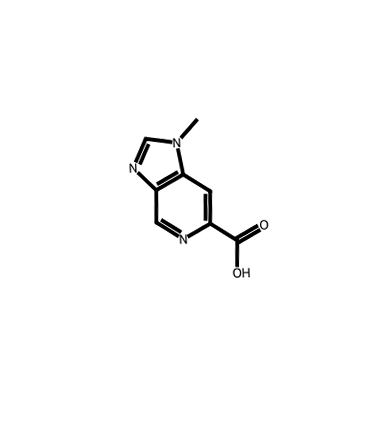 Cn1cnc2cnc(C(=O)O)cc21